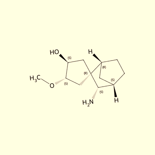 CO[C@H]1C[C@]2(C[C@@H]1O)[C@@H]1CC[C@@H](C1)[C@@H]2N